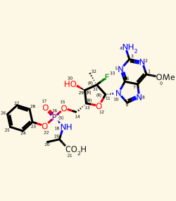 COc1nc(N)nc2c1ncn2[C@@H]1O[C@H](CO[P@@](=O)(NC(C)C(=O)O)Oc2ccccc2)[C@@H](O)[C@@]1(C)F